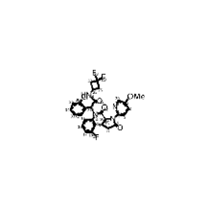 COc1ccc(N2C(=O)CC[C@H]2C(=O)N(c2cccc(F)c2)[C@H](C(=O)NC2CC(F)(F)C2)c2ccccc2Cl)nc1